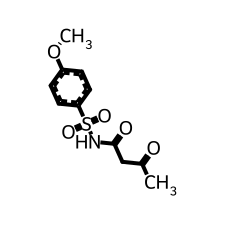 COc1ccc(S(=O)(=O)NC(=O)CC(C)=O)cc1